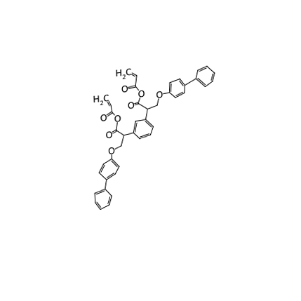 C=CC(=O)OC(=O)C(COc1ccc(-c2ccccc2)cc1)c1cccc(C(COc2ccc(-c3ccccc3)cc2)C(=O)OC(=O)C=C)c1